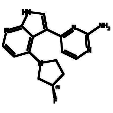 Nc1nccc(-c2c[nH]c3nccc(N4CC[C@@H](F)C4)c23)n1